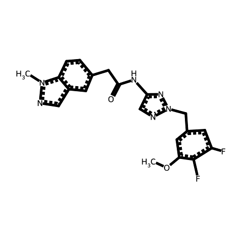 COc1cc(Cn2ncc(NC(=O)Cc3ccc4c(cnn4C)c3)n2)cc(F)c1F